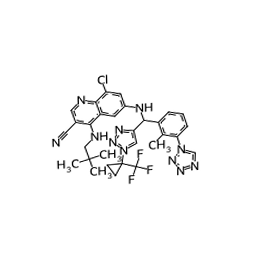 Cc1c(C(Nc2cc(Cl)c3ncc(C#N)c(NCC(C)(C)C)c3c2)c2cn(C3(C(F)(F)F)CC3)nn2)cccc1-n1cnnn1